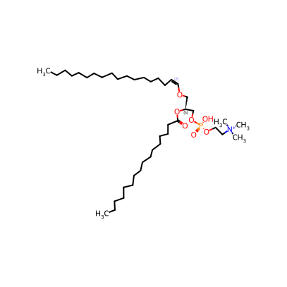 CCCCCCCCCCCCCCCC/C=C\OC[C@@H](COP(=O)(O)OCC[N+](C)(C)C)OC(=O)CCCCCCCCCCCCCCC